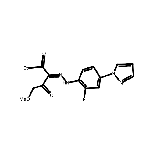 CCC(=O)C(=NNc1ccc(-n2cccn2)cc1F)C(=O)COC